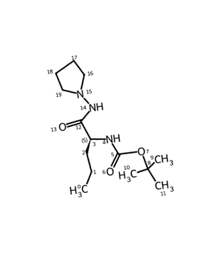 CCC[C@H](NC(=O)OC(C)(C)C)C(=O)NN1CCCC1